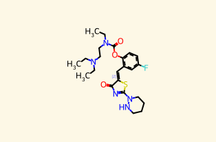 CCN(CC)CCN(CC)C(=O)Oc1ccc(F)cc1/C=C1\SC(N2CCCCN2)=NC1=O